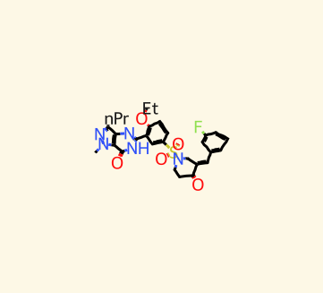 CCCc1nn(C)c2c(=O)[nH]c(-c3cc(S(=O)(=O)N4CCC(=O)C(=Cc5cccc(F)c5)C4)ccc3OCC)nc12